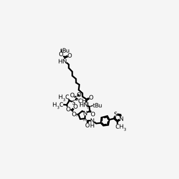 Cc1ncsc1-c1ccc(CNC(=O)[C@@H]2C[C@@H](OC(=O)OC(C)C(C)SS(C)(=O)=O)CN2C(=O)[C@@H](NC(=O)CCCCCCCCCCNC(=O)OC(C)(C)C)C(C)(C)C)cc1